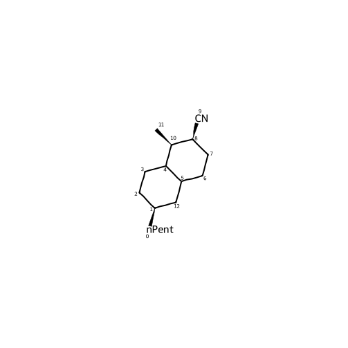 CCCCC[C@H]1CCC2C(CC[C@H](C#N)[C@@H]2C)C1